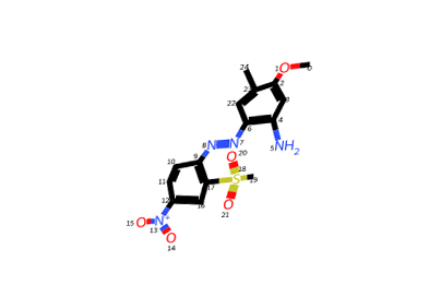 COc1cc(N)c(N=Nc2ccc([N+](=O)[O-])cc2S(C)(=O)=O)cc1C